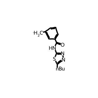 [CH2]c1cccc(C(=O)Nc2nnc(CCCC)s2)c1